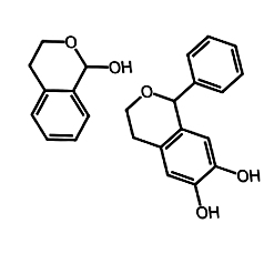 OC1OCCc2ccccc21.Oc1cc2c(cc1O)C(c1ccccc1)OCC2